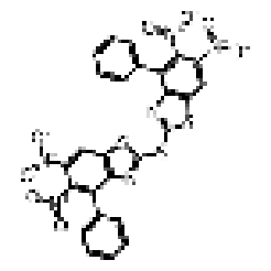 O=[N+]([O-])c1cc2sc(Sc3nc4c(-c5ccccc5)c([N+](=O)[O-])c([N+](=O)[O-])cc4s3)nc2c(-c2ccccc2)c1[N+](=O)[O-]